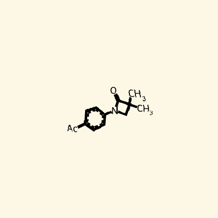 CC(=O)c1ccc(N2CC(C)(C)C2=O)cc1